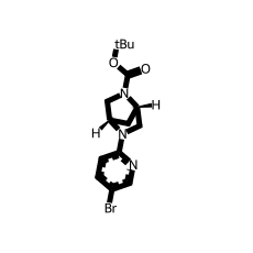 CC(C)(C)OC(=O)N1C[C@@H]2C[C@H]1CN2c1ccc(Br)cn1